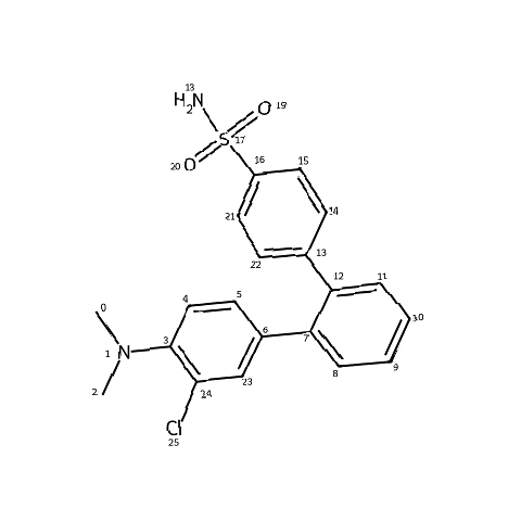 CN(C)c1ccc(-c2ccccc2-c2ccc(S(N)(=O)=O)cc2)cc1Cl